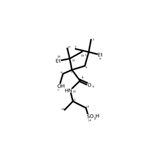 CCC(C)(C)CC(CO)(C(=O)NC(C)CS(=O)(=O)O)C(C)(C)CC